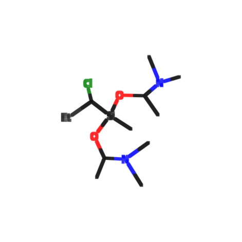 CCC(Cl)[Si](C)(OC(C)N(C)C)OC(C)N(C)C